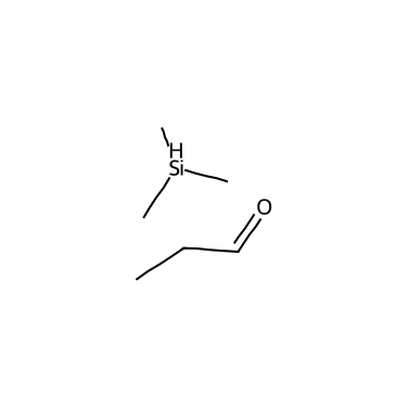 CCC=O.C[SiH](C)C